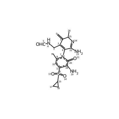 C=C1C(CNC=O)=C(n2c(C)cc(S(=O)(=O)C3CC3)c(N)c2=O)C(N)=NC1C